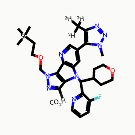 [2H]C([2H])([2H])c1nnn(C)c1-c1cnc2c3c(c(C(=O)O)nn3COCC[Si](C)(C)C)n(C(c3ncccc3F)C3CCOCC3)c2c1